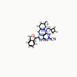 CC1CCC(Cn2c(C3OCc4ccccc43)nc3nc(C#N)nc(N[C@H](C)C4CCC4)c32)CC1